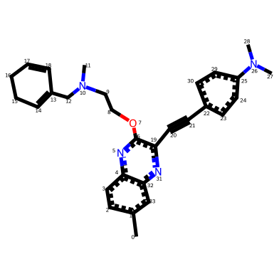 Cc1ccc2nc(OCCN(C)CC3=CCCC=C3)c(C#Cc3ccc(N(C)C)cc3)nc2c1